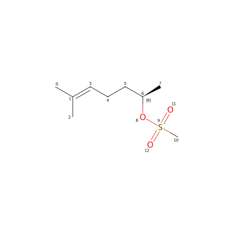 CC(C)=CCC[C@@H](C)OS(C)(=O)=O